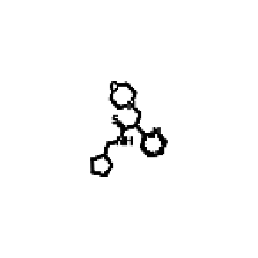 S=C(NCC1CCCC1)C(CN1CCOCC1)c1ccccn1